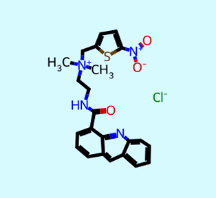 C[N+](C)(CCNC(=O)c1cccc2cc3ccccc3nc12)Cc1ccc([N+](=O)[O-])s1.[Cl-]